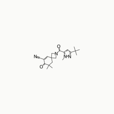 Cn1nc(C(C)(C)C)cc1C(=O)N1CC2(C=C(C#N)C(=O)C(C)(C)C2)C1